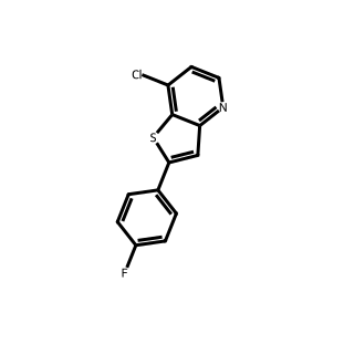 Fc1ccc(-c2cc3nccc(Cl)c3s2)cc1